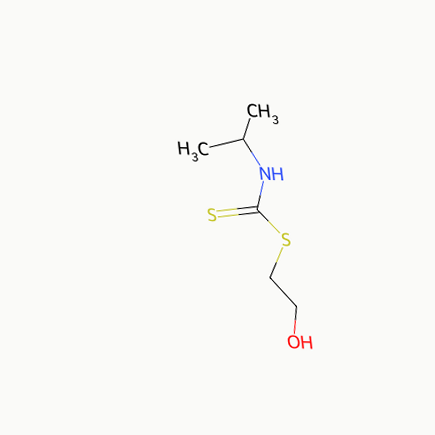 CC(C)NC(=S)SCCO